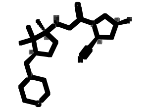 CC1(C)[C@H](CN2CCOCC2)CC[C@]1(C)NCC(=O)N1C[C@@H](F)C[C@H]1C#N